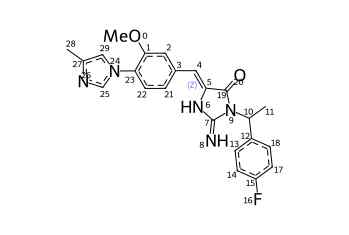 COc1cc(/C=C2\NC(=N)N(C(C)c3ccc(F)cc3)C2=O)ccc1-n1cnc(C)c1